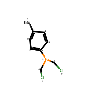 CC(C)(C)c1ccc(P(CCl)CCl)cc1